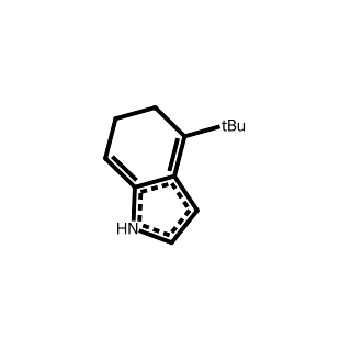 CC(C)(C)C1=c2cc[nH]c2=CCC1